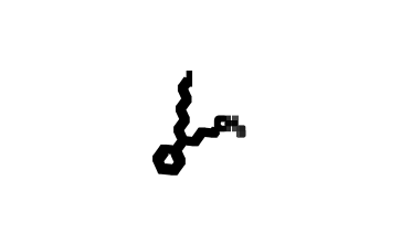 CCCCC(CCCCCI)c1ccccc1